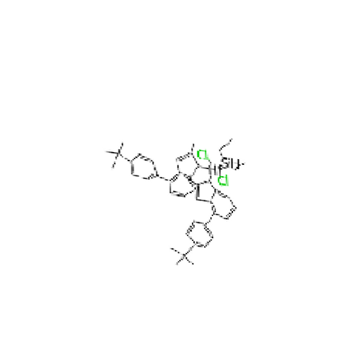 CC[SiH](CC)[Hf]([Cl])([Cl])([CH]1C(C)=Cc2c(-c3ccc(C(C)(C)C)cc3)cccc21)[CH]1C(C)=Cc2c(-c3ccc(C(C)(C)C)cc3)cccc21